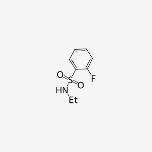 [CH2]CNS(=O)(=O)c1ccccc1F